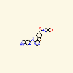 O=C([C@H]1CCc2c(sc3ncnc(Nc4cc5cn[nH]c5cn4)c23)C1)N1CC2(COC2)C1